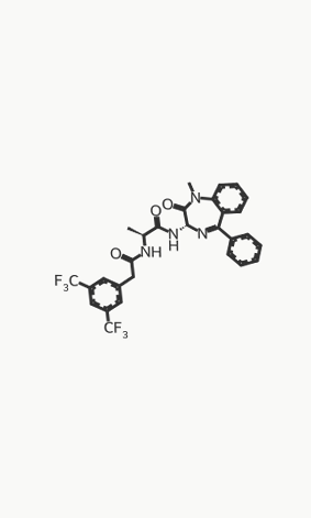 C[C@H](NC(=O)Cc1cc(C(F)(F)F)cc(C(F)(F)F)c1)C(=O)N[C@H]1N=C(c2ccccc2)c2ccccc2N(C)C1=O